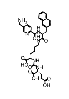 NCc1ccc(C(=O)N[C@@H](Cc2ccc3ccccc3c2)C(=O)NCCCC[C@H](NC(=O)N[C@H](CCC(=O)O)C(=O)O)C(=O)O)nc1